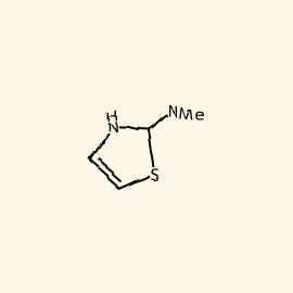 CNC1NC=CS1